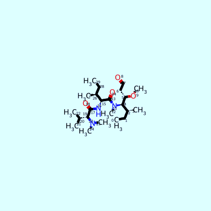 CC[C@@H](C)[C@H]([C@H](CC=O)OC)N(C)C(=O)[C@H](NC(=O)[C@@H](C(C)C)N(C)C)[C@@H](C)CC